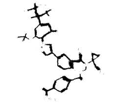 N#CC1(N(COC(=O)c2ccc(C(=O)O)cc2)C(=O)c2cc(-c3cnn(-c4c(Cl)cc(C(F)(C(F)(F)F)C(F)(F)F)cc4OC(F)(F)F)c3)ccc2Cl)CC1